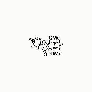 COc1c2c(c(OC)c3occc13)OC1(CCN(C)CC1)CC2=O